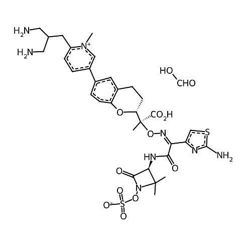 C[n+]1cc(-c2ccc3c(c2)CC[C@H]([C@](C)(O/N=C(\C(=O)N[C@@H]2C(=O)N(OS(=O)(=O)[O-])C2(C)C)c2csc(N)n2)C(=O)O)O3)ccc1CC(CN)CN.O=CO